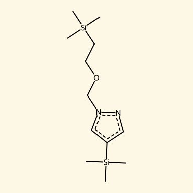 C[Si](C)(C)CCOCn1cc([Si](C)(C)C)cn1